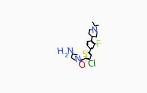 CC(C)N1CCC(c2ccc(-c3cc(Cl)c(C(=O)N4CC[C@H](N)C4)s3)cc2F)CC1